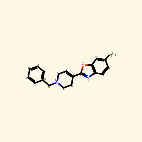 Cc1ccc2nc(C3=CCN(Cc4ccccc4)CC3)oc2c1